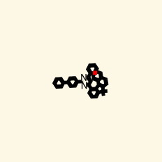 CC1(C)c2cccc(-c3cc(-c4ccccc4)nc(-c4ccc(-c5ccccc5)cc4)n3)c2-c2c1ccc1ccccc21